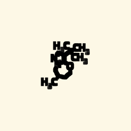 C[C@H]1CCOc2c(C(C)(C)C)cnn2C1